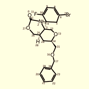 O=C1N[C@@]2(C3CC(Br)=CC=C3F)CO[C@@H](COCc3ccccc3)C[C@H]2CO1